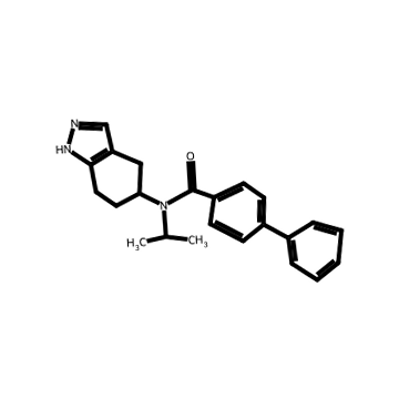 CC(C)N(C(=O)c1ccc(-c2ccccc2)cc1)C1CCc2[nH]ncc2C1